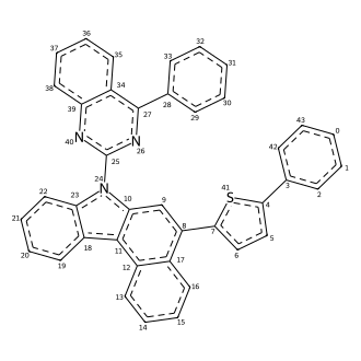 c1ccc(-c2ccc(-c3cc4c(c5ccccc35)c3ccccc3n4-c3nc(-c4ccccc4)c4ccccc4n3)s2)cc1